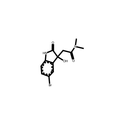 CN(C)C(=O)CC1(O)C(=O)Nc2ccc(Br)cc21